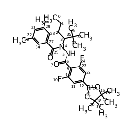 CCCC(N(NC(=O)c1c(F)cc(B2OC(C)(C)C(C)(C)O2)cc1F)C(=O)c1cc(C)cc(C)c1)C(C)(C)C